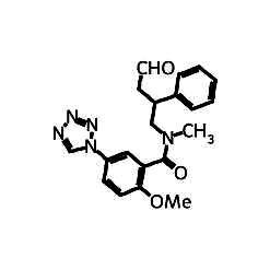 COc1ccc(-n2cnnn2)cc1C(=O)N(C)CC(CC=O)c1ccccc1